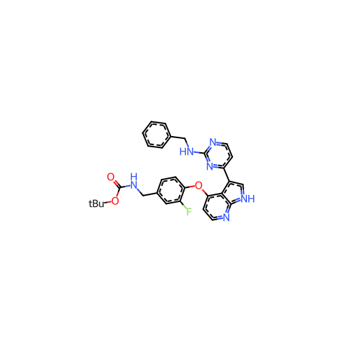 CC(C)(C)OC(=O)NCc1ccc(Oc2ccnc3[nH]cc(-c4ccnc(NCc5ccccc5)n4)c23)c(F)c1